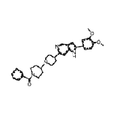 COc1ccc(-c2cc3cnc(C4CCN(C5CCN(C(=O)c6ccccc6)CC5)CC4)cc3[nH]2)cc1OC